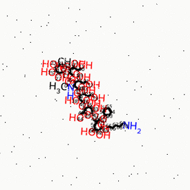 CC(=O)NC1C(O[C@@H]2OC(CO)[C@H](O)C(O)[C@@H]2O[C@@H]2OC(C)[C@@H](O)C(O)C2O)[C@@H](O)C(CO)O[C@H]1OC1C(O)[C@@H](O[C@H]2C(CO)O[C@@H](OCC3(COc4ccccc4)CC(O)C(O)[C@H](OCCCCCN)O3)C(O)C2O)OC(CO)[C@@H]1O